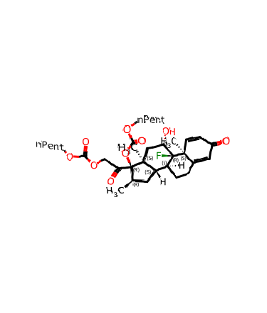 CCCCCOC(=O)OCC(=O)[C@@]1(OC(=O)OCCCCC)[C@H](C)C[C@H]2[C@@H]3CCC4=CC(=O)C=C[C@]4(C)[C@@]3(F)[C@@H](O)C[C@@]21C